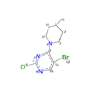 CC1CCN(c2nc(Cl)ncc2Br)CC1